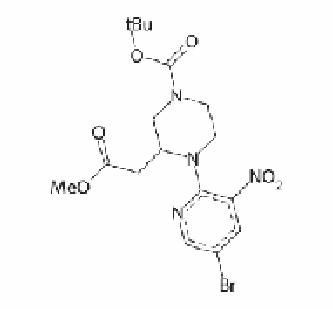 COC(=O)CC1CN(C(=O)OC(C)(C)C)CCN1c1ncc(Br)cc1[N+](=O)[O-]